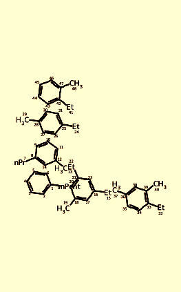 CCCCCc1ccccc1.CCCc1cccc(C)c1.CCc1cc(C)cc(CC)c1.CCc1ccc(C)cc1.CCc1ccc(C)cc1C.CCc1ccccc1C